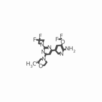 C[C@H]1CN(c2cc(-c3cnc(N)c(OC(F)F)c3)nc(N3CC(F)(F)C3)n2)CCO1